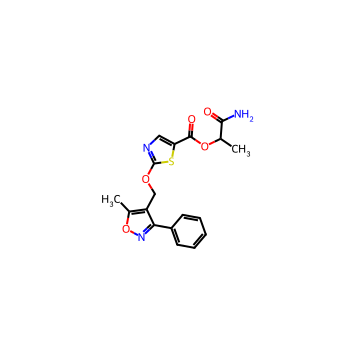 Cc1onc(-c2ccccc2)c1COc1ncc(C(=O)OC(C)C(N)=O)s1